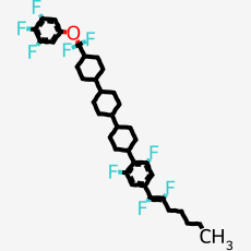 CCCCC/C(F)=C(\F)c1cc(F)c(C2CCC(C3CCC(C4CCC(C(F)(F)Oc5cc(F)c(F)c(F)c5)CC4)CC3)CC2)c(F)c1